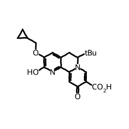 CC(C)(C)C1Cc2cc(OCC3CC3)c(O)nc2-c2cc(=O)c(C(=O)O)cn21